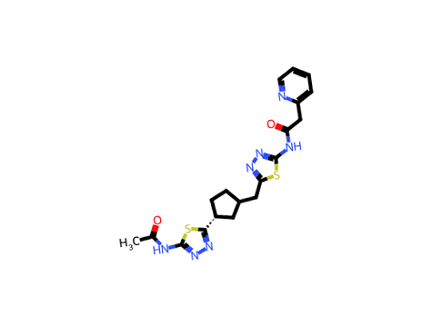 CC(=O)Nc1nnc([C@@H]2CCC(Cc3nnc(NC(=O)Cc4ccccn4)s3)C2)s1